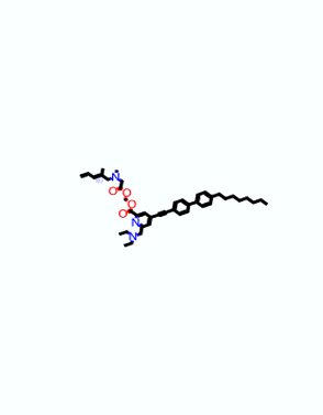 C=C/C=C(\C)CN(C)CC(=O)OCOC(=O)c1cc(C#Cc2ccc(-c3ccc(CCCCCCCC)cc3)cc2)cc(CN(CC)CC)n1